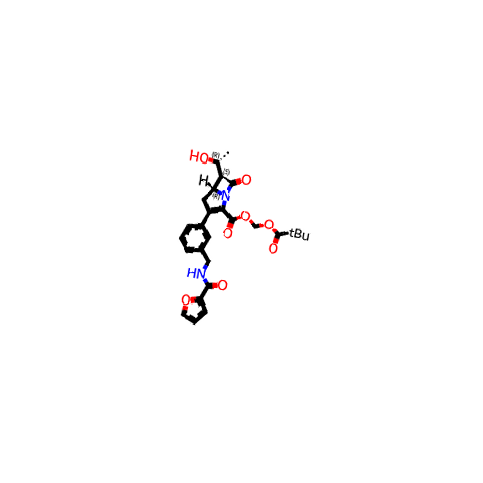 C[C@@H](O)[C@H]1C(=O)N2C(C(=O)OCOC(=O)C(C)(C)C)=C(c3cccc(CNC(=O)c4ccco4)c3)C[C@H]12